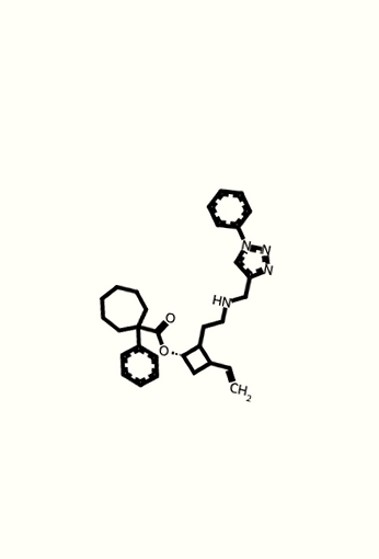 C=CC1C[C@H](OC(=O)C2(c3ccccc3)CCCCCC2)C1CCNCc1cn(-c2ccccc2)nn1